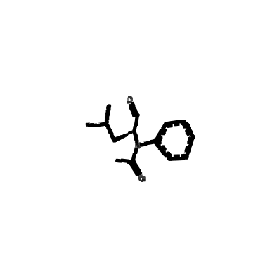 CC(=O)N(c1ccccc1)[C@H]([C]=O)CC(C)C